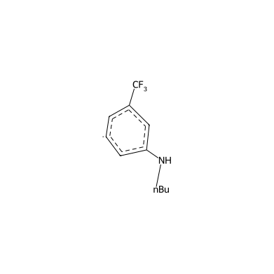 CCCCNc1c[c]cc(C(F)(F)F)c1